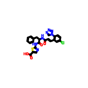 O=C(/C=C/c1cc(Cl)ccc1-n1cnnn1)NC(Cc1ccccc1)C(=O)Nc1ncc(C(=O)O)s1